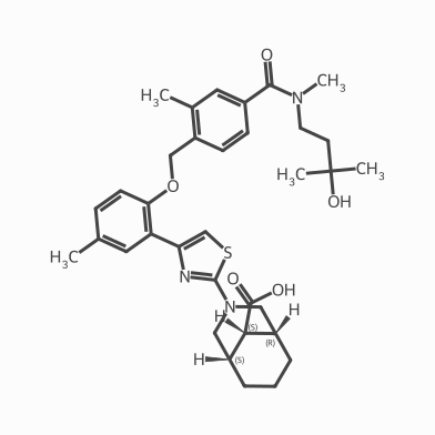 Cc1ccc(OCc2ccc(C(=O)N(C)CCC(C)(C)O)cc2C)c(-c2csc(N3C[C@H]4CCC[C@@H](C3)[C@H]4C(=O)O)n2)c1